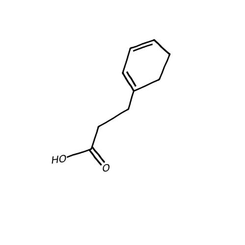 O=C(O)CCC1=CC=CCC1